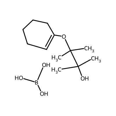 CC(C)(O)C(C)(C)OC1=CCCCC1.OB(O)O